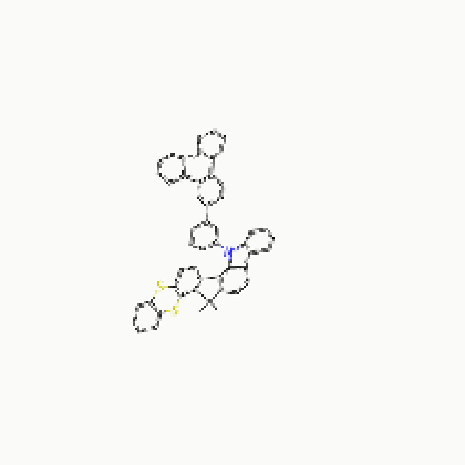 CC1(C)c2ccc3c4ccccc4n(-c4cccc(-c5ccc6c7ccccc7c7ccccc7c6c5)c4)c3c2-c2ccc3c(c21)Sc1ccccc1S3